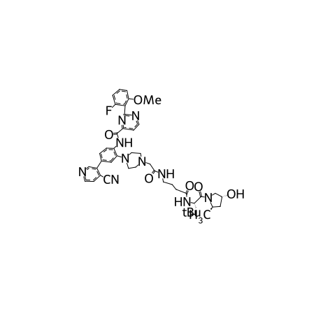 COc1cccc(F)c1-c1nccc(C(=O)Nc2ccc(-c3cnccc3C#N)cc2N2CCN(CC(=O)NCCCC(=O)N[C@H](C(=O)N3C[C@H](O)C[C@H]3C)C(C)(C)C)CC2)n1